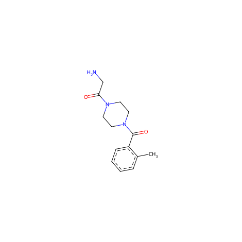 Cc1ccccc1C(=O)N1CCN(C(=O)CN)CC1